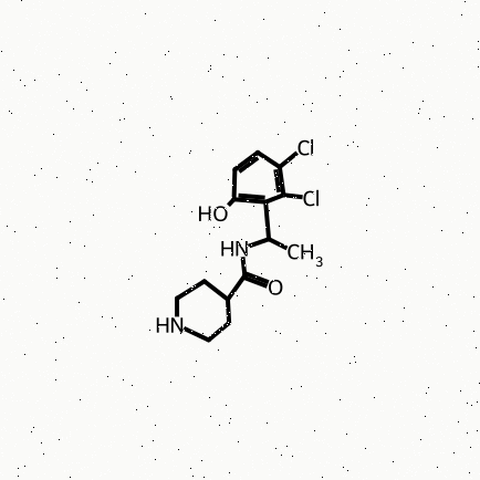 CC(NC(=O)C1CCNCC1)c1c(O)ccc(Cl)c1Cl